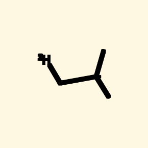 [2H]C[C](C)C